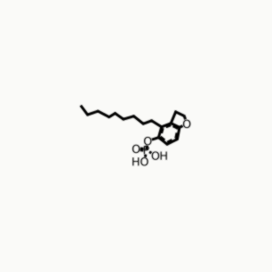 CCCCCCCCCc1c(OP(=O)(O)O)ccc2c1CCO2